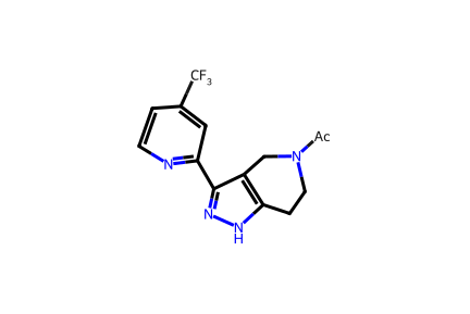 CC(=O)N1CCc2[nH]nc(-c3cc(C(F)(F)F)ccn3)c2C1